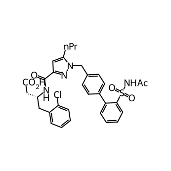 CCCc1cc(C(=O)N[C@@H](CC(=O)O)Cc2ccccc2Cl)nn1Cc1ccc(-c2ccccc2S(=O)(=O)NC(C)=O)cc1